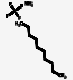 CCCCCCCCCC.F[B-](F)(F)F.[NH4+]